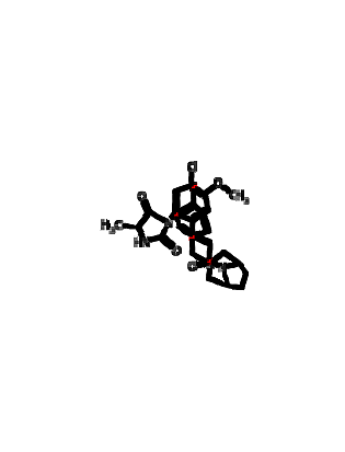 COc1cc(C=CC(=O)N2C3CCC2CN(Cc2ccc(F)cc2)C3)c(N2C(=O)N[C@@H](C)C2=O)cc1Cl